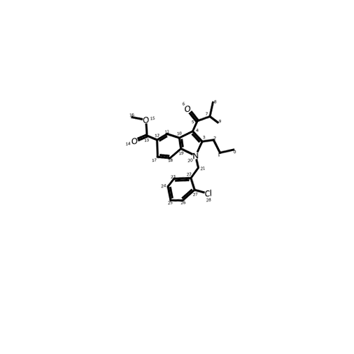 CCCc1c(C(=O)C(C)C)c2cc(C(=O)OC)ccc2n1Cc1ccccc1Cl